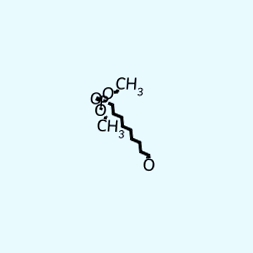 CCOP(=O)(CCCCCCCCC=O)OCC